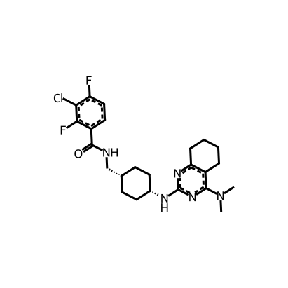 CN(C)c1nc(N[C@H]2CC[C@@H](CNC(=O)c3ccc(F)c(Cl)c3F)CC2)nc2c1CCCC2